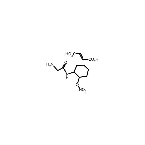 NCC(=O)NC1CCCCC1O[N+](=O)[O-].O=C(O)C=CC(=O)O